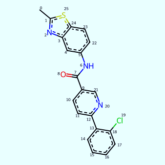 Cc1nc2cc(NC(=O)c3ccc(-c4ccccc4Cl)nc3)ccc2s1